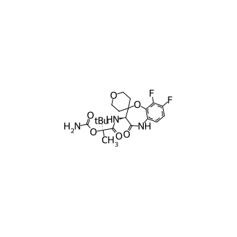 CC(C)(C)[C@](C)(OC(N)=O)C(=O)N[C@@H]1C(=O)Nc2ccc(F)c(F)c2OC12CCOCC2